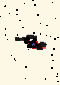 COc1ccc(C(OCCOc2cc3nc(c2)CN(Cc2ccccc2)CCOCCN(C(CCC#N)CCOP(O)N(C(C)C)C(C)C)CCOCCN(Cc2ccccc2)C3)(c2ccccc2)c2ccc(OC)cc2)cc1